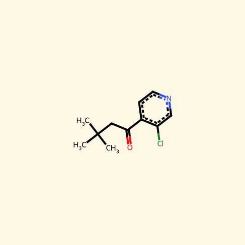 CC(C)(C)CC(=O)c1ccncc1Cl